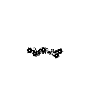 O=C(c1ccccc1)c1ccccc1NC(Cc1ccc(OCCCN(Cc2ccccc2)C(=O)C=Cc2ccccc2)cc1)C(=O)O